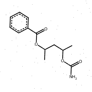 CC(CC(C)OC(=O)c1ccccc1)OC(N)=O